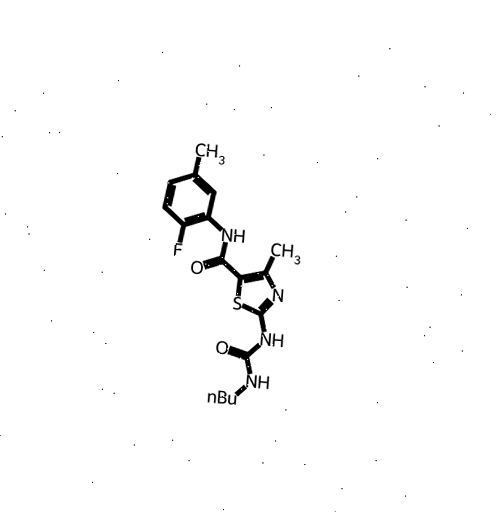 CCCCNC(=O)Nc1nc(C)c(C(=O)Nc2cc(C)ccc2F)s1